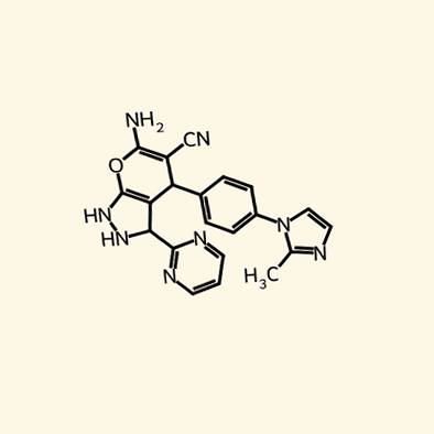 Cc1nccn1-c1ccc(C2C(C#N)=C(N)OC3=C2C(c2ncccn2)NN3)cc1